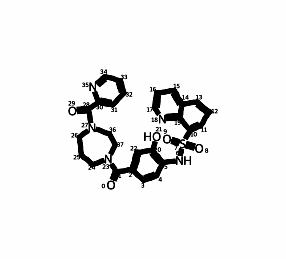 O=C(c1ccc(NS(=O)(=O)c2cccc3cccnc23)c(O)c1)N1CCCN(C(=O)c2ccccn2)CC1